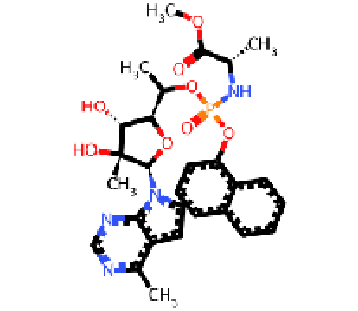 COC(=O)[C@H](C)NP(=O)(Oc1cccc2ccccc12)OC(C)[C@H]1O[C@@H](n2ccc3c(C)ncnc32)[C@](C)(O)[C@@H]1O